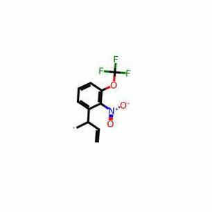 [CH2]C(C=C)c1cccc(OC(F)(F)F)c1[N+](=O)[O-]